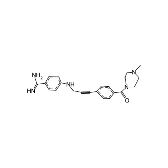 CN1CCN(C(=O)c2ccc(C#CCNc3ccc(C(=N)N)cc3)cc2)CC1